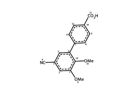 COc1cc(C#N)cc(-c2ccc(C(=O)O)cc2)c1OC